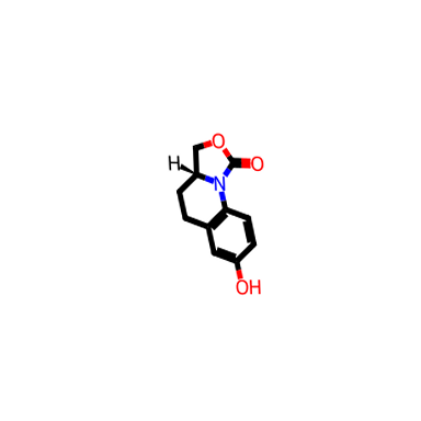 O=C1OC[C@H]2CCc3cc(O)ccc3N12